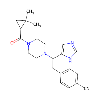 CC1(C)CC1C(=O)N1CCN(C(Cc2ccc(C#N)cc2)c2cnc[nH]2)CC1